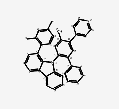 Cc1ccc(-c2cccc3c4ccccc4n(-c4cc(C#N)c(-c5ccncc5)cc4-c4ccccc4)c23)c(C)c1